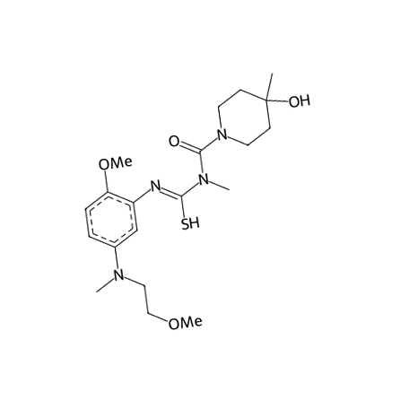 COCCN(C)c1ccc(OC)c(/N=C(\S)N(C)C(=O)N2CCC(C)(O)CC2)c1